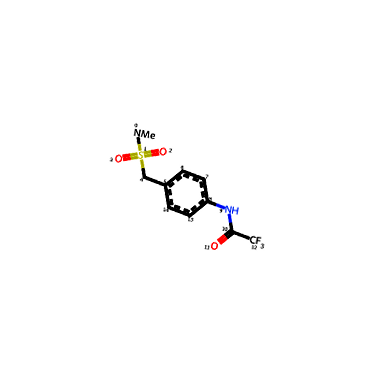 CNS(=O)(=O)Cc1ccc(NC(=O)C(F)(F)F)cc1